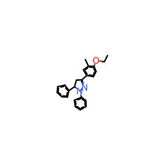 CCOc1ccc(C2=NN(c3ccccc3)C(c3ccccc3)C2)cc1C